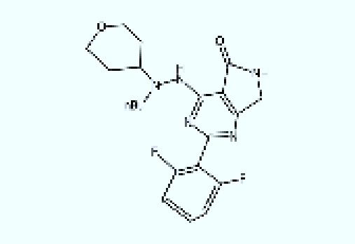 CCCCN(Nc1nc(-c2c(F)cccc2F)nc2c1C(=O)NC2)C1CCOCC1